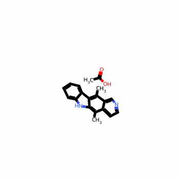 CC(=O)O.Cc1c2ccncc2c(C)c2c1[nH]c1ccccc12